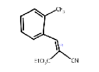 CCOC(=O)/C(C#N)=C\c1ccccc1C(F)(F)F